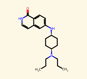 CCCN(CCC)[C@H]1CC[C@@H](Nc2ccc3c(=O)[nH]ccc3c2)CC1